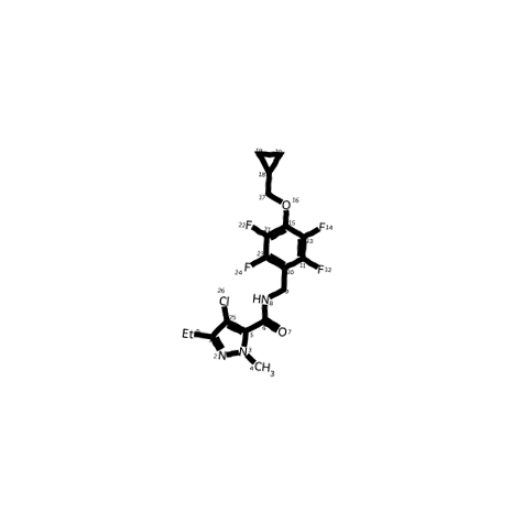 CCc1nn(C)c(C(=O)NCc2c(F)c(F)c(OCC3CC3)c(F)c2F)c1Cl